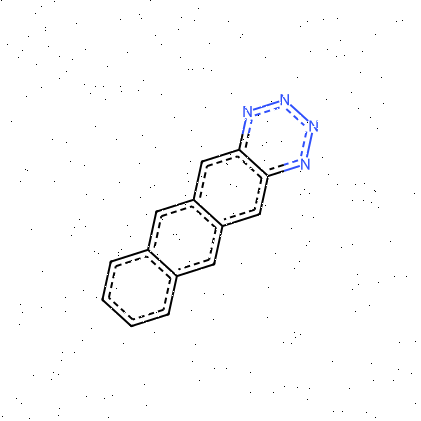 c1ccc2cc3cc4nnnnc4cc3cc2c1